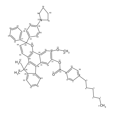 CCCCCCc1ccc(C(=O)Oc2cc3c4c(c5c(c3cc2OC)OC(c2ccccc2)(c2ccc(N3CCCC3)cc2)C=C5)C(C)(C)c2ccccc2-4)cc1